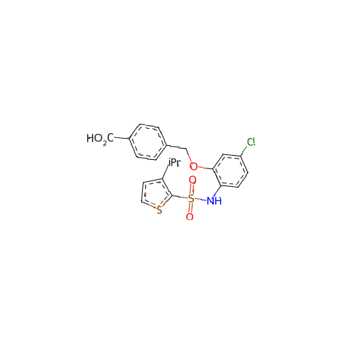 CC(C)c1ccsc1S(=O)(=O)Nc1ccc(Cl)cc1OCc1ccc(C(=O)O)cc1